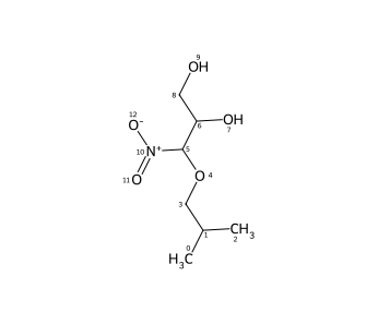 CC(C)COC(C(O)CO)[N+](=O)[O-]